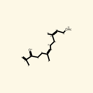 C=C(C)C(=O)CCC(C)=CCCC(C)=CCOC(C)=O